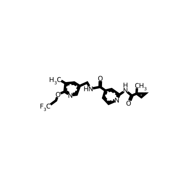 Cc1cc(CNC(=O)c2ccnc(NC(=O)C3(C)CC3)c2)cnc1OCC(F)(F)F